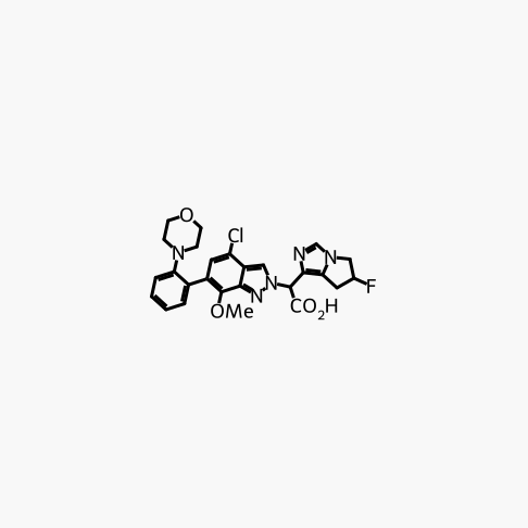 COc1c(-c2ccccc2N2CCOCC2)cc(Cl)c2cn(C(C(=O)O)c3ncn4c3CC(F)C4)nc12